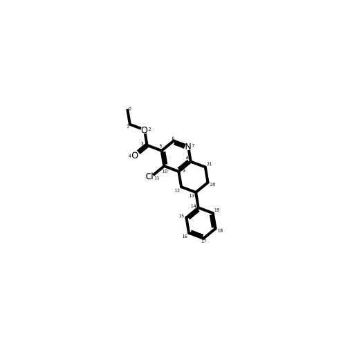 CCOC(=O)c1cnc2c(c1Cl)CC(c1ccccc1)CC2